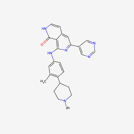 Cc1cc(Nc2nc(-c3cncnc3)cc3cc[nH]c(=O)c23)ccc1C1CCN(C(C)C)CC1